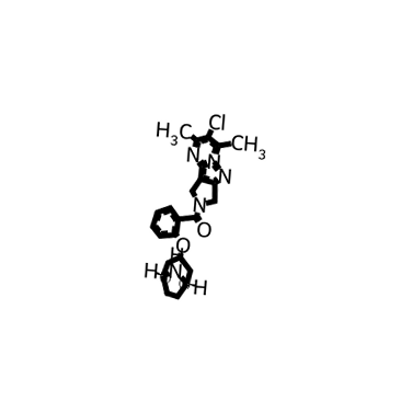 Cc1nc2c3c(nn2c(C)c1Cl)CN(C(=O)c1ccccc1OC1C[C@H]2CC[C@@H](C1)N2)C3